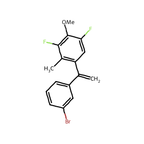 C=C(c1cccc(Br)c1)c1cc(F)c(OC)c(F)c1C